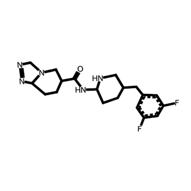 O=C(NC1CCC(Cc2cc(F)cc(F)c2)CN1)C1CCC2N=NCN2C1